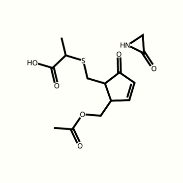 CC(=O)OCC1C=CC(=O)C1CSC(C)C(=O)O.O=C1CN1